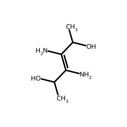 CC(O)C(N)=C(N)C(C)O